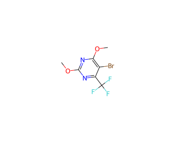 COc1nc(OC)c(Br)c(C(F)(F)F)n1